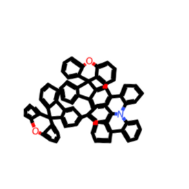 c1ccc(-c2ccccc2N(c2ccc(-c3ccc4c(c3)-c3ccccc3C43c4ccccc4Oc4ccccc43)cc2)c2ccccc2-c2ccc3c(c2)C2(c4ccccc4Oc4ccccc42)c2ccccc2-3)cc1